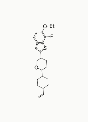 C=CC1CCC(C2CCC(c3cc4ccc(OCC)c(F)c4s3)CO2)CC1